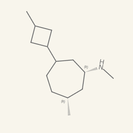 CN[C@H]1CC(C2CC(C)C2)CC[C@@H](C)C1